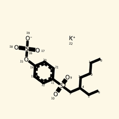 CCCCC(CC)CS(=O)(=O)c1ccc(OS(=O)(=O)[O-])cc1.[K+]